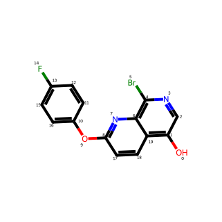 Oc1cnc(Br)c2nc(Oc3ccc(F)cc3)ccc12